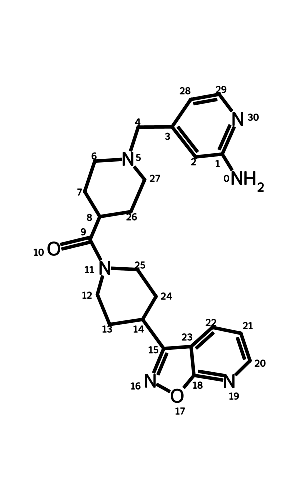 Nc1cc(CN2CCC(C(=O)N3CCC(c4noc5ncccc45)CC3)CC2)ccn1